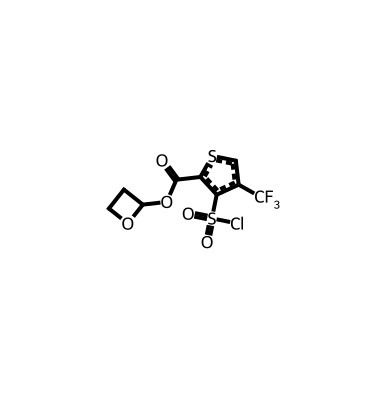 O=C(OC1CCO1)c1scc(C(F)(F)F)c1S(=O)(=O)Cl